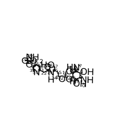 CN[C@@H]1[C@H](O)[C@H](NC)[C@H]2OC[C@@H](O[C@H](C)C[C@H](CO)NC(=O)Cc3ccc(OS(N)(=O)=O)cn3)O[C@@H]2[C@H]1O